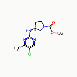 Cc1nc(N[C@H]2CCN(C(=O)OC(C)(C)C)C2)ncc1Cl